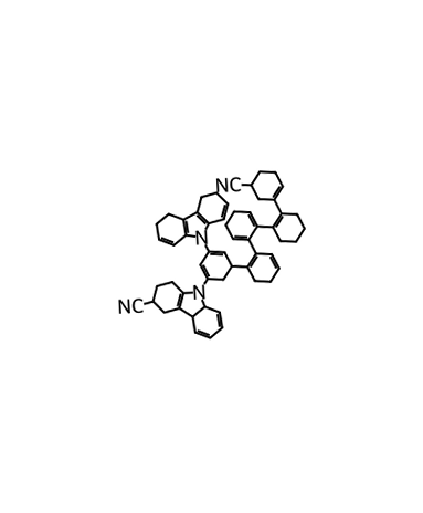 N#CC1CCC=C(C2=C(C3=CCCC=C3C3=C(C4C=C(n5c6c(c7c5C=CCC7)CCC=C6)C=C(N5C6=C(CC(C#N)CC6)C6C=CC=CC65)C4)CCC=C3)CCCC2)C1